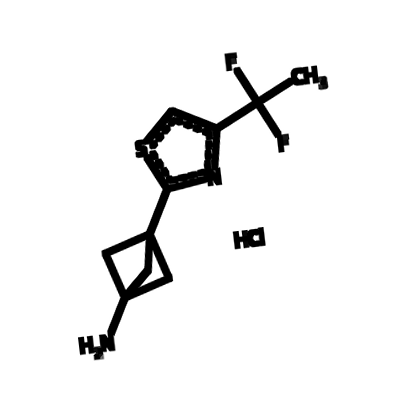 CC(F)(F)c1csc(C23CC(N)(C2)C3)n1.Cl